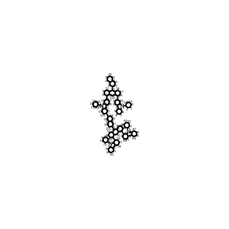 c1ccc(-n2c3ccccc3c3ccc(-c4cccc5c(-c6ccc7ccccc7c6)c6cccc(-c7ccc8c9cc(-c%10ccc%11cc(-c%12c%13cccc(-c%14cccc%15c%16ccccc%16n(-c%16ccccc%16)c%14%15)c%13cc%13c(-c%14cccc%15c%16ccccc%16n(-c%16ccccc%16)c%14%15)cccc%12%13)ccc%11c%10)ccc9n(-c9ccccc9)c8c7)c6cc45)cc32)cc1